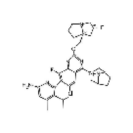 Cc1cc(N)nc(-c2c(Cl)cc3c(N4CC5CCC(C4)N5)nc(OC[C@@]45CCCN4C[C@H](F)C5)nc3c2F)c1C(C)C